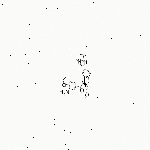 COCCN(Cc1ccc(-c2cn(C)c(C(C)(C)C)n2)cc1)NC(=O)c1ccc(OC(C)C)c(N)c1